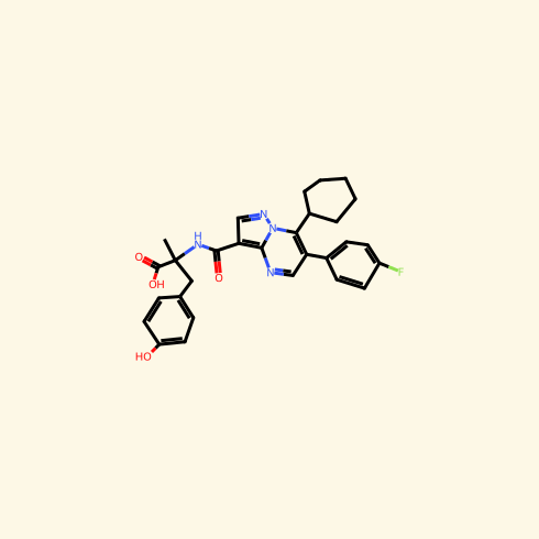 CC(Cc1ccc(O)cc1)(NC(=O)c1cnn2c(C3CCCCC3)c(-c3ccc(F)cc3)cnc12)C(=O)O